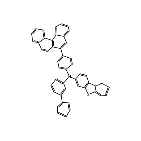 C1=CCC2C(=C1)Sc1cc(N(c3ccc(-c4cc5ccccc5c5c4ccc4ccccc45)cc3)c3cccc(-c4ccccc4)c3)ccc12